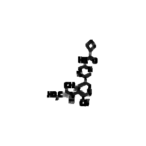 C[C@H](Nc1cc(-c2cnc(NC(=O)C3CCC3)cn2)cnc1C#N)C(=O)O